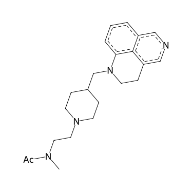 CC(=O)N(C)CCN1CCC(CN2CCc3cncc4cccc2c34)CC1